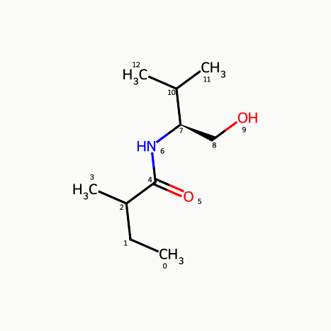 CCC(C)C(=O)N[C@H](CO)C(C)C